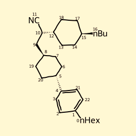 CCCCCCc1ccc([C@H]2CC[C@H](CC(C#N)[C@H]3CC[C@H](CCCC)CC3)CC2)cc1